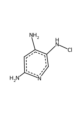 Nc1cc(N)c(NCl)cn1